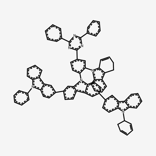 C1=CCC(n2c3ccccc3c3cc(-c4ccc5c(c4)c4ccc(-c6ccc7c(c6)c6ccccc6n7-c6ccccc6)cc4n5-c4ccc(-c5nc(-c6ccccc6)nc(-c6ccccc6)n5)cc4-n4c5c(c6ccccc64)CCC=C5)ccc32)C=C1